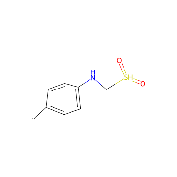 [CH2]c1ccc(NC[SH](=O)=O)cc1